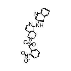 O=[N+]([O-])c1ccccc1CS(=O)(=O)N1CCc2c(ccnc2Nc2cnc3ccccc3c2)C1